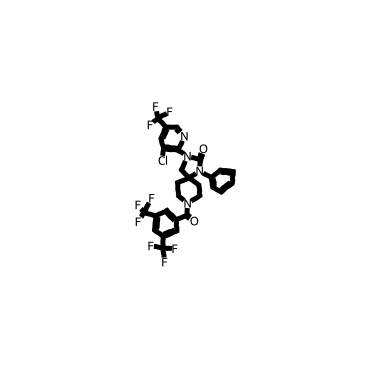 O=C(c1cc(C(F)(F)F)cc(C(F)(F)F)c1)N1CCC2(CC1)CN(c1ncc(C(F)(F)F)cc1Cl)C(=O)N2c1ccccc1